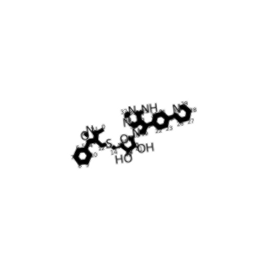 Cc1noc(-c2ccccc2)c1CSC[C@H]1O[C@@H](n2cc(-c3ccc(-c4ccccn4)cc3)c3c(N)ncnc32)[C@H](O)[C@@H]1O